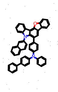 c1ccc(-c2ccc(N(c3ccccc3)c3ccc(-c4cc5c6ccccc6oc5c5c6ccccc6n(-c6ccc7ccccc7c6)c45)cc3)cc2)cc1